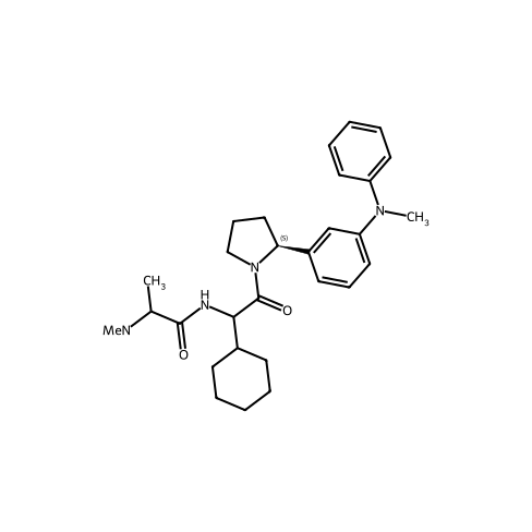 CNC(C)C(=O)NC(C(=O)N1CCC[C@H]1c1cccc(N(C)c2ccccc2)c1)C1CCCCC1